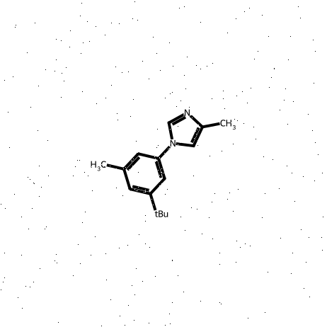 Cc1cc(-n2cnc(C)c2)cc(C(C)(C)C)c1